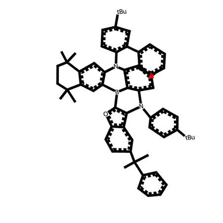 Cc1cc2c3c(c1)N(c1ccc(C(C)(C)C)cc1)c1c(oc4ccc(C(C)(C)c5ccccc5)cc14)B3c1cc3c(cc1N2c1ccc(C(C)(C)C)cc1-c1ccccc1)C(C)(C)CCC3(C)C